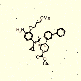 COCCCOc1cc(N(C(=O)[C@H]2CN(C(=O)OC(C)(C)C)CC[C@@H]2c2cccc(-c3ccccc3)c2)C2CC2)ccc1N